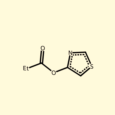 CCC(=O)Oc1cscn1